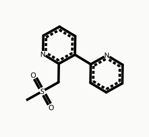 CS(=O)(=O)Cc1ncccc1-c1ccccn1